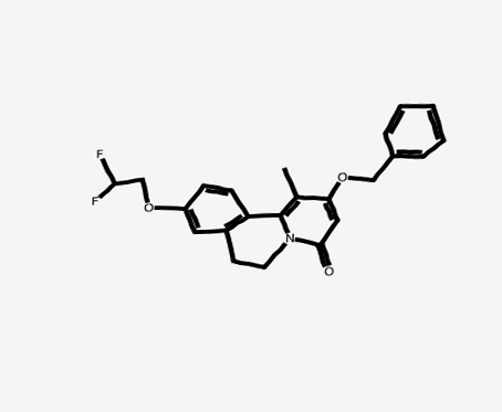 Cc1c(OCc2ccccc2)cc(=O)n2c1-c1ccc(OCC(F)F)cc1CC2